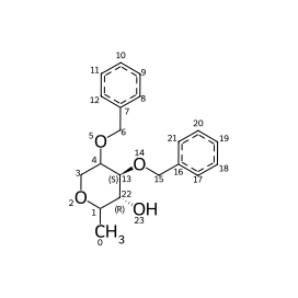 CC1OCC(OCc2ccccc2)[C@@H](OCc2ccccc2)[C@@H]1O